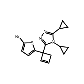 Brc1ccc(C2(c3nnc(C4CC4)n3C3CC3)C=CC2)s1